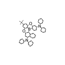 CC(C)(C)c1cc2c3c(c1)Oc1cc(N(c4ccccc4)c4ccccc4)c4ccccc4c1B3c1ccc(N(c3ccccc3)c3ccccc3)cc1O2